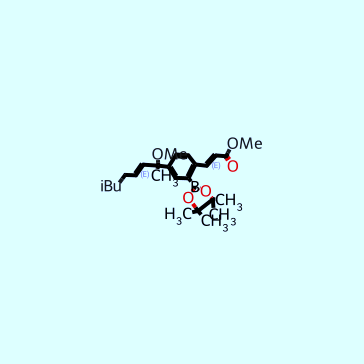 CCC(C)C/C=C/C(C)(OC)c1ccc(/C=C/C(=O)OC)c(B2OC(C)(C)C(C)(C)O2)c1